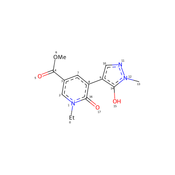 CCn1cc(C(=O)OC)cc(-c2cnn(C)c2O)c1=O